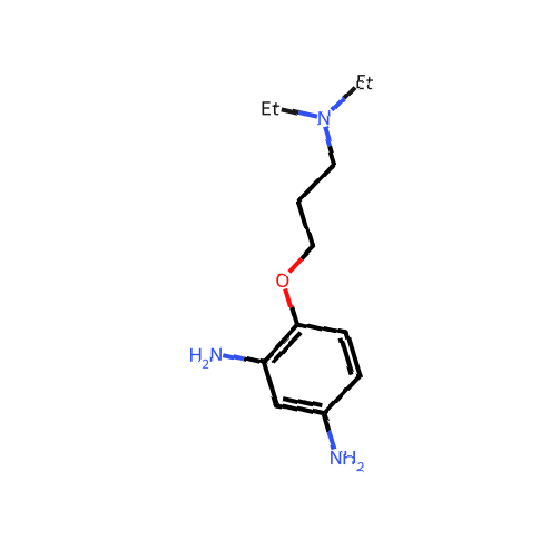 CCN(CC)CCCOc1ccc(N)cc1N